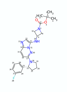 CC(C)(C)OC(=O)N1CC(Nc2cnc3ccc(N4CCC[C@@H]4c4cccc(F)c4)nn23)C1